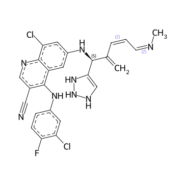 C=C(/C=C\C=N/C)[C@H](Nc1cc(Cl)c2ncc(C#N)c(Nc3ccc(F)c(Cl)c3)c2c1)C1=CNNN1